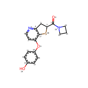 O=C(C1Cc2nccc(Oc3ccc(O)cc3)c2S1)N1CCC1